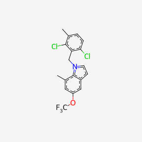 Cc1ccc(Cl)c(Cn2ccc3cc(OC(F)(F)F)cc(C)c32)c1Cl